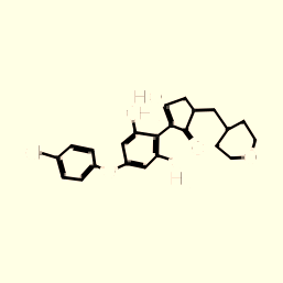 Cc1cc(Oc2ccc(Cl)cc2)cc(C)c1C1=C(O)CC(CC2CCOCC2)C1=O